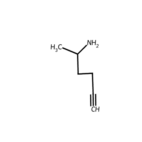 C#CCCC(C)N